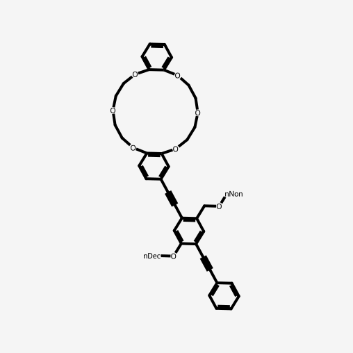 CCCCCCCCCCOc1cc(C#Cc2ccc3c(c2)OCCOCCOc2ccccc2OCCOCCO3)c(COCCCCCCCCC)cc1C#Cc1ccccc1